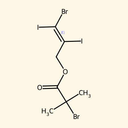 CC(C)(Br)C(=O)OC/C(I)=C(/Br)I